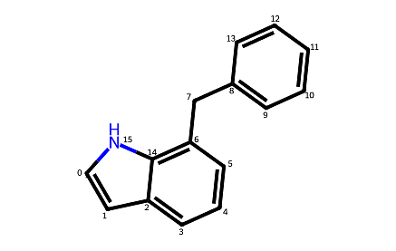 [c]1cc2cccc(Cc3ccccc3)c2[nH]1